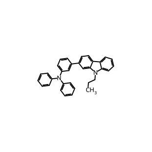 CCCn1c2ccccc2c2ccc(-c3cccc(N(c4ccccc4)c4ccccc4)c3)cc21